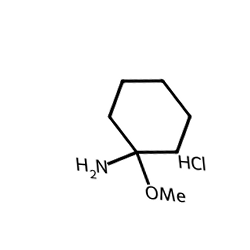 COC1(N)CCCCC1.Cl